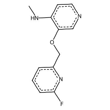 CNc1ccncc1OCc1cccc(F)n1